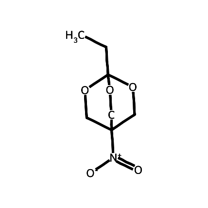 CCC12OCC([N+](=O)[O-])(CO1)CO2